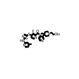 Cc1ccnc(Nc2ncc(Sc3ccnc(C(=O)NCC4(c5cccnc5)CCN(CCO)CC4)c3F)s2)c1